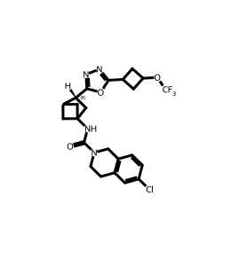 O=C(NC12CC(C1)[C@H](c1nnc(C3CC(OC(F)(F)F)C3)o1)C2)N1CCc2cc(Cl)ccc2C1